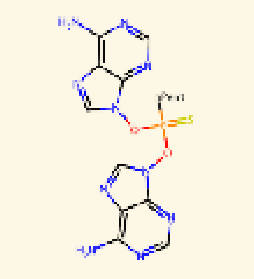 CCCCCP(=S)(On1cnc2c(N)ncnc21)On1cnc2c(N)ncnc21